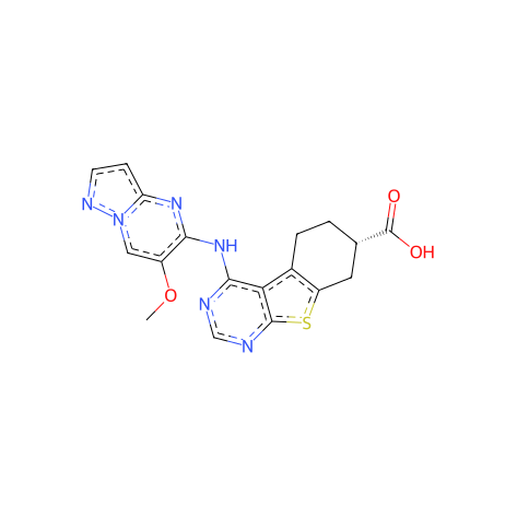 COc1cn2nccc2nc1Nc1ncnc2sc3c(c12)CC[C@H](C(=O)O)C3